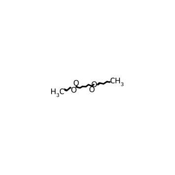 CC=CCOC(=O)CCCCC(=O)OC=CCCCC